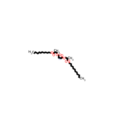 CCCCCCCCCCCCOC(=O)C(C)=COC(=O)/C=C\C(=O)OC=C(C)C(=O)OCCCCCCCCCCCC